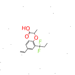 C=Cc1ccc(OC(C)C(=O)O)c(C(F)(F)CC)c1